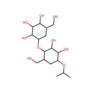 CC(C)OC1CC(CO)C(OC2CC(CO)C(O)C(O)C2O)C(O)C1O